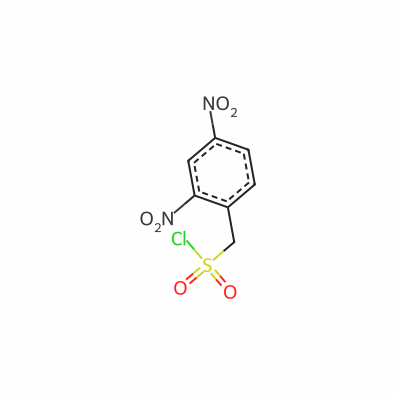 O=[N+]([O-])c1ccc(CS(=O)(=O)Cl)c([N+](=O)[O-])c1